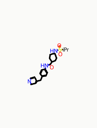 CC(C)S(=O)(=O)NC1CCC(C(=O)Nc2ccc(Cc3ccncc3)cc2)CC1